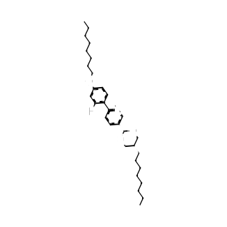 CCCCCCCCOc1ccc(-c2ccc([C@H]3OC[C@H](CCCCCCCC)CO3)cn2)c(F)c1